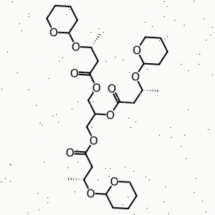 C[C@H](CC(=O)OCC(COC(=O)C[C@@H](C)OC1CCCCO1)OC(=O)C[C@@H](C)OC1CCCCO1)OC1CCCCO1